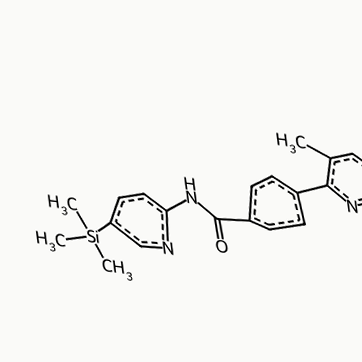 Cc1cccnc1-c1ccc(C(=O)Nc2ccc([Si](C)(C)C)cn2)cc1